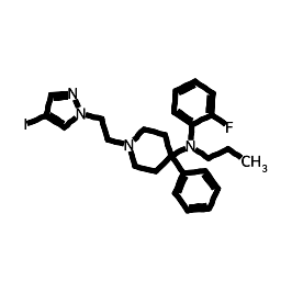 CCCN(c1ccccc1F)C1(c2ccccc2)CCN(CCn2cc(I)cn2)CC1